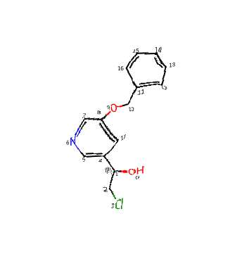 O[C@@H](CCl)c1cncc(OCc2ccccc2)c1